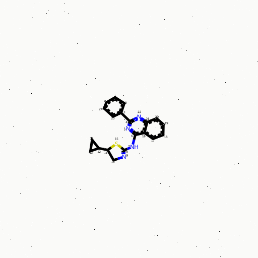 c1ccc(-c2nc(NC3=NCC(C4CC4)S3)c3ccccc3n2)cc1